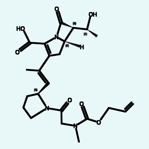 C=CCOC(=O)N(C)CC(=O)N1CCC[C@H]1C=C(C)C1=C(C(=O)O)N2C(=O)[C@H]([C@@H](C)O)[C@H]2C1